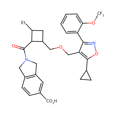 CCC1CC(COCc2c(-c3ccccc3OC(F)(F)F)noc2C2CC2)C1C(=O)N1Cc2ccc(C(=O)O)cc2C1